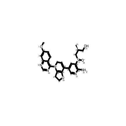 COc1ccc2c(N3CC=C(c4cnc(N)c([S+]([O-])C[C@@H](C)CO)c4)C4=C3CCO4)ncnc2c1